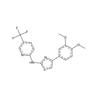 COc1ccc(-c2csc(Nc3ccc(C(F)(F)F)cn3)n2)cc1OC